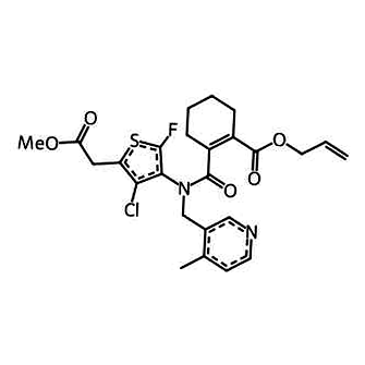 C=CCOC(=O)C1=C(C(=O)N(Cc2cnccc2C)c2c(F)sc(CC(=O)OC)c2Cl)CCCC1